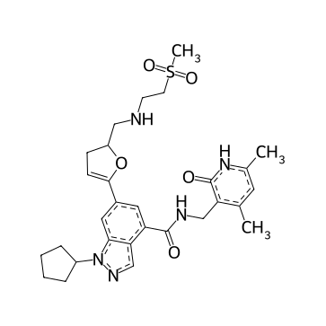 Cc1cc(C)c(CNC(=O)c2cc(C3=CCC(CNCCS(C)(=O)=O)O3)cc3c2cnn3C2CCCC2)c(=O)[nH]1